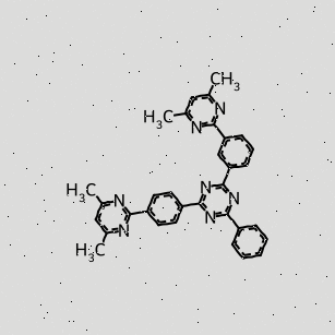 Cc1cc(C)nc(-c2ccc(-c3nc(-c4ccccc4)nc(-c4cccc(-c5nc(C)cc(C)n5)c4)n3)cc2)n1